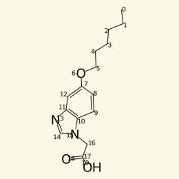 CCCCCCOc1ccc2c(c1)ncn2CC(=O)O